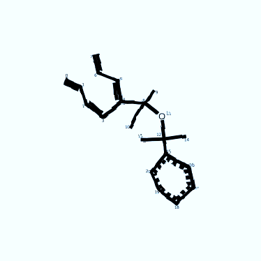 C=C/C=C\C(=C/C=C)C(C)(C)OC(C)(C)c1ccccc1